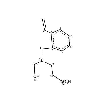 C=Cc1ccccc1CN(CO)CCS(=O)(=O)O